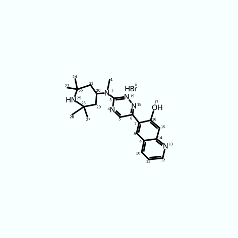 Br.CN(c1ncc(-c2cc3cccnc3cc2O)nn1)C1CC(C)(C)NC(C)(C)C1